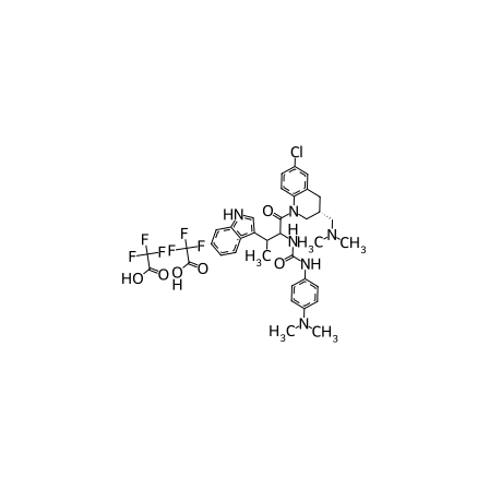 CC(c1c[nH]c2ccccc12)C(NC(=O)Nc1ccc(N(C)C)cc1)C(=O)N1C[C@@H](CN(C)C)Cc2cc(Cl)ccc21.O=C(O)C(F)(F)F.O=C(O)C(F)(F)F